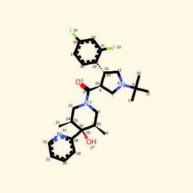 C[C@@H]1CN(C(=O)[C@@H]2CN(C(C)(C)C)C[C@H]2c2ccc(F)cc2F)C[C@H](C)[C@@]1(O)c1ccccn1